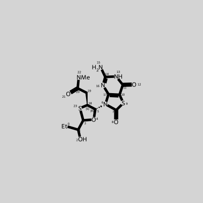 CCC(O)C1O[C@@H](n2c(=O)sc3c(=O)[nH]c(N)nc32)[C@H](CC(=O)NC)S1